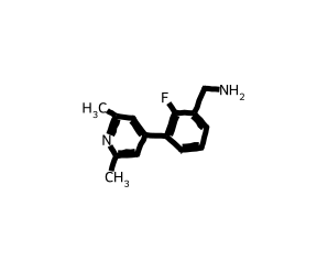 Cc1cc(-c2[c]ccc(CN)c2F)cc(C)n1